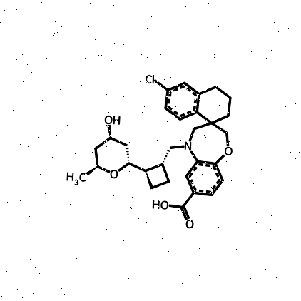 C[C@H]1C[C@@H](O)C[C@H]([C@@H]2CC[C@H]2CN2CC3(CCCc4cc(Cl)ccc43)COc3ccc(C(=O)O)cc32)O1